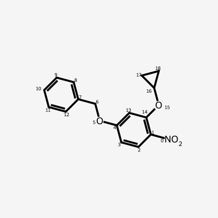 O=[N+]([O-])c1ccc(OCc2ccccc2)cc1OC1CC1